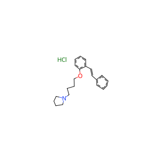 C(=C\c1ccccc1OCCCCN1CCCC1)/c1ccccc1.Cl